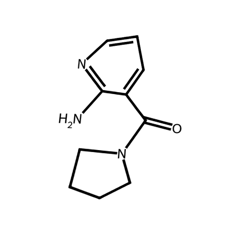 Nc1ncccc1C(=O)N1CCCC1